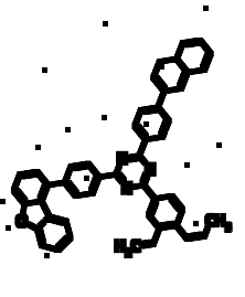 C=Cc1cc(-c2nc(-c3ccc(C4=CCC5C=CC=CC5=C4)cc3)nc(-c3ccc(-c4cccc5oc6ccccc6c45)cc3)n2)ccc1/C=C\C